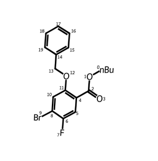 CCCCOC(=O)c1cc(F)c(Br)cc1OCc1ccccc1